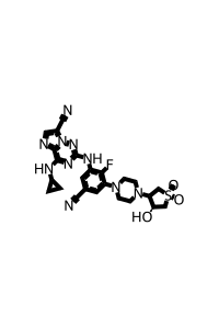 N#Cc1cc(Nc2nc(NC3CC3)c3ncc(C#N)n3n2)c(F)c(N2CCN(C3CS(=O)(=O)C[C@@H]3O)CC2)c1